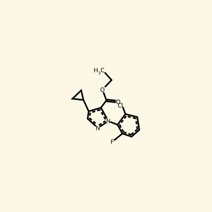 CCOC(=O)c1c(C2CC2)cnn1-c1c(F)cccc1Cl